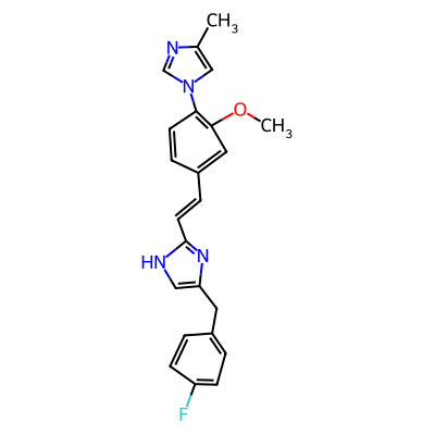 COc1cc(C=Cc2nc(Cc3ccc(F)cc3)c[nH]2)ccc1-n1cnc(C)c1